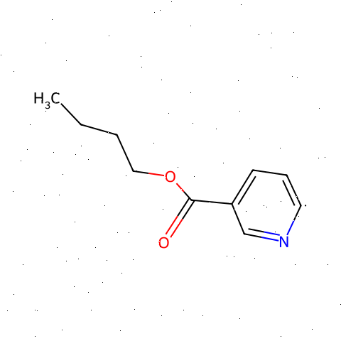 CCCCOC(=O)c1cc[c]nc1